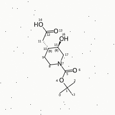 CC(C)(C)OC(=O)N1CC[C@H](CC(=O)O)[C@@H](O)C1